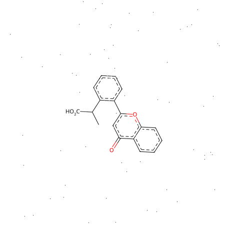 CC(C(=O)O)c1ccccc1-c1cc(=O)c2ccccc2o1